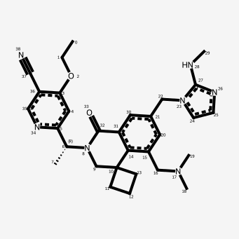 CCOc1cc([C@@H](C)N2CC3(CCC3)c3c(CN(C)C)cc(Cn4ccnc4NC)cc3C2=O)ncc1C#N